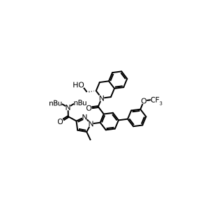 CCCCN(CCCC)C(=O)c1cc(C)n(-c2ccc(-c3cccc(OC(F)(F)F)c3)cc2C(=O)N2Cc3ccccc3C[C@H]2CO)n1